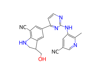 Cc1ncc(C#N)cc1Nc1nccc(-c2cc(C#N)c3c(c2)C(CO)CN3)n1